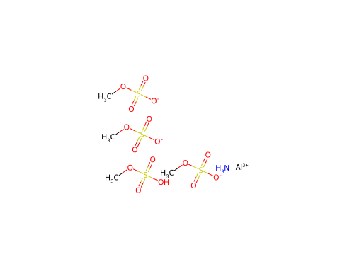 COS(=O)(=O)O.COS(=O)(=O)[O-].COS(=O)(=O)[O-].COS(=O)(=O)[O-].N.[Al+3]